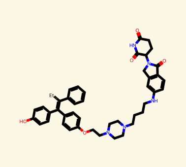 CCC(=C(c1ccc(O)cc1)c1ccc(OCCN2CCN(CCCCNc3ccc4c(c3)CN(C3CCC(=O)NC3=O)C4=O)CC2)cc1)c1ccccc1